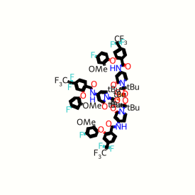 COc1cc(F)ccc1Oc1cc(C(F)(F)C(F)(F)F)ccc1C(=O)Nc1ccn(C(OP(=O)(OC(n2ccc(NC(=O)c3ccc(C(F)(F)C(F)(F)F)cc3Oc3ccc(F)cc3OC)cc2=O)(C(C)(C)C)C(C)(C)C)OC(n2ccc(NC(=O)c3ccc(C(F)(F)C(F)(F)F)cc3Oc3ccc(F)cc3OC)cc2=O)(C(C)(C)C)C(C)(C)C)(C(C)(C)C)C(C)(C)C)c(=O)c1